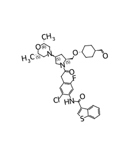 C[C@@H]1CN([C@H]2C[C@@H](CO[C@H]3CC[C@H](C=O)CC3)N(C(=O)Cc3cc(Cl)c(NC(=O)c4csc5ccccc45)cc3F)C2)C[C@H](C)O1